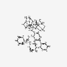 c1ccc(-c2ccc(CP(C34CC5CC(CC(C5)C3)C4)C34CC5CC(CC(C5)C3)C4)c(CP(c3cnccn3)c3cnccn3)c2)cc1